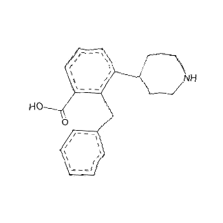 O=C(O)c1cccc(C2CCNCC2)c1Cc1ccccc1